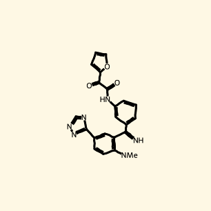 CNc1ccc(C2=NN=C=N2)cc1C(=N)c1cccc(NC(=O)C(=O)c2ccco2)c1